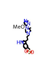 COc1cncnc1N1CCN(CCCc2c[nH]c3ccc(CS(C)(=O)=O)cc23)CC1C